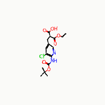 CCOC(=O)C(Cc1cnc(NC(=O)OC(C)(C)C)c(Cl)c1)C(=O)O